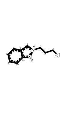 ClCCCn1cc2ccccc2n1